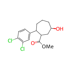 COC(=O)C1C[C@H](O)CCCC1c1ccc(Cl)c(Cl)c1